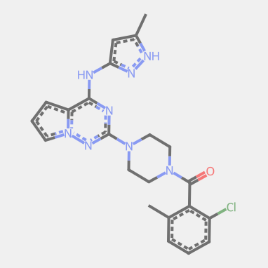 Cc1cc(Nc2nc(N3CCN(C(=O)c4c(C)cccc4Cl)CC3)nn3cccc23)n[nH]1